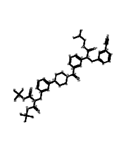 CC(C)COC(=O)N(Cc1cccc(C#N)c1)c1cncc(C(=O)N2CCC(c3cccc(CN(C(=O)OC(C)(C)C)C(=O)OC(C)(C)C)c3)CC2)c1